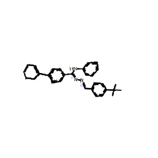 CC(C)(C)c1ccc(/C=N/N=C(\Nc2ccccc2)c2ccc(C3=CC=CCC3)cc2)cc1